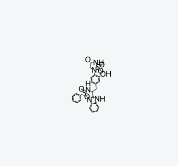 O=C1CN(c2ccc(CC(NS(=O)(=O)c3ccccc3)c3nc4ccccc4[nH]3)cc2O)S(=O)(=O)N1